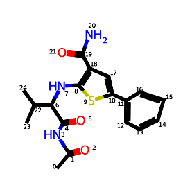 CC(=O)NC(=O)C(Nc1sc(-c2ccccc2)cc1C(N)=O)C(C)C